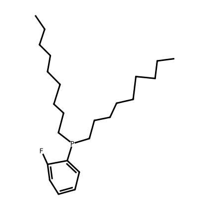 CCCCCCCCCP(CCCCCCCCC)c1ccccc1F